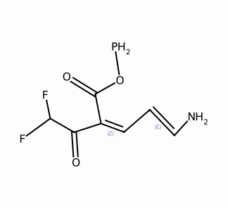 N/C=C/C=C(\C(=O)OP)C(=O)C(F)F